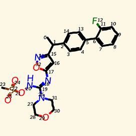 CC(c1ccc(-c2ccccc2F)cc1)c1cc(N=C(NOS(C)(=O)=O)N2CCOCC2)on1